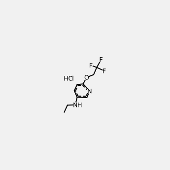 CCNc1ccc(OCC(F)(F)F)nc1.Cl